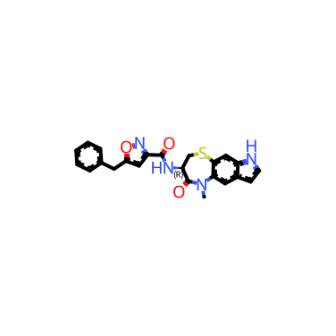 CN1C(=O)[C@@H](NC(=O)c2cc(Cc3ccccc3)on2)CSc2cc3[nH]ccc3cc21